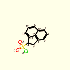 O=S(=O)(Cl)C1Cc2cccc3cccc1c23